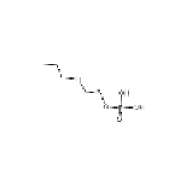 CCCOCCOP(=O)(O)O